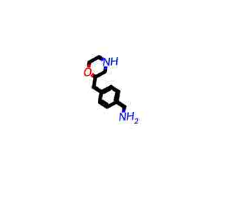 NCc1ccc(CC2CNCCO2)cc1